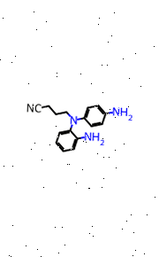 N#CCCCN(c1ccc(N)cc1)c1ccccc1N